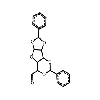 O=CC1OC(c2ccccc2)OC2C1OC1OC(c3ccccc3)OC12